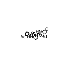 CCOC1OC(=O)CC1NC(=O)CN1CC=CCC(NC(=O)c2cccc(C(C)=O)c2)C1=O